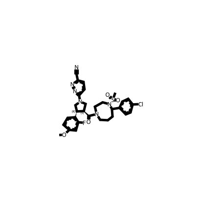 COc1ccc([C@@H]2CN(c3ccc(C#N)nn3)C[C@H]2C(=O)N2CCCC(c3ccc(Cl)cc3)N(S(C)(=O)=O)CC2)c(F)c1